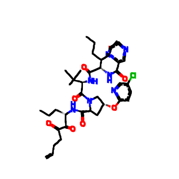 C=CCCC(=O)C(=O)[C@H](CCC)NC(=O)[C@@H]1C[C@@H](Oc2ccc(Cl)cn2)CN1C(=O)[C@@H](NC(=O)[C@@H](NC(=O)c1cnccn1)C(CCC)CCC)C(C)(C)C